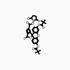 CC(C)(C)C(=O)Oc1ccc2c(c1)Oc1cc(OC(=O)C(C)(C)C)ccc1C21OC(=O)c2ccc(C(=O)ON3C(=O)CCC3=O)cc21